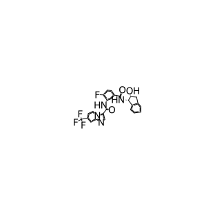 O=C(N[C@H]1c2ccccc2C[C@H]1O)c1ccc(F)c(NC(=O)c2cnc3cc(C(F)(F)F)ccn23)c1